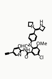 C#Cc1ccc(NC(=O)c2cc(Cl)cc(OC)c2N(C=O)c2ccc(C(=C3CCN3)N3CCC3)cc2)nc1